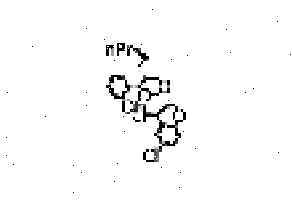 CCC/C=C\C[C@@H]1CO[C@H](C2=C(Cl)c3cc(Cl)ccc3OC2)O[C@@H]1c1ccccc1O